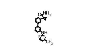 NC(=O)C1(c2cccc(-c3cccc(Nc4nccc(C(F)(F)F)n4)c3)c2)CC1